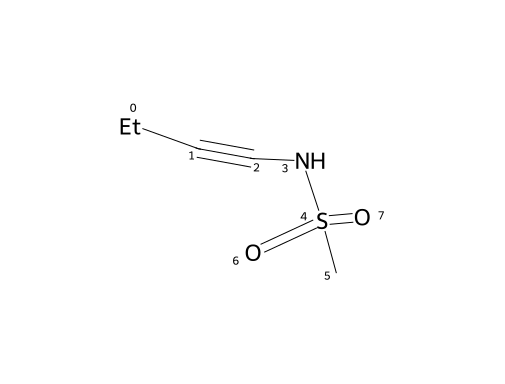 CCC#CNS(C)(=O)=O